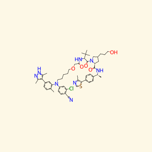 Cc1ccc(-c2c(C)n[nH]c2C)cc1N(CCCCCOCC(=O)N[C@H](C(=O)N1CC(CCCO)C[C@H]1C(=O)N[C@@H](C)c1ccc(-c2scnc2C)cc1)C(C)(C)C)c1ccc(C#N)c(Cl)c1